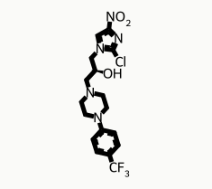 O=[N+]([O-])c1cn(C[C@@H](O)CN2CCN(c3ccc(C(F)(F)F)cc3)CC2)c(Cl)n1